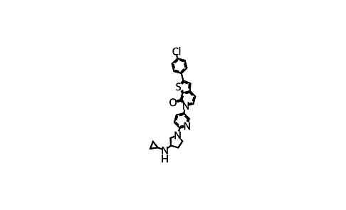 O=c1c2sc(-c3ccc(Cl)cc3)cc2ccn1-c1ccc(N2CCC(NC3CC3)C2)nc1